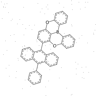 c1ccc(-c2c3ccccc3c(-c3ccc4c5c3Oc3ccccc3B5c3ccccc3O4)c3ccccc23)cc1